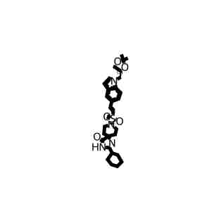 CC1(C)OC[C@H](Cn2ccc3cc(C=CS(=O)(=O)N4CCC5(CC4)N=C(C4CCCCC4)NC5=O)ccc32)O1